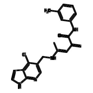 C=C(/C=C(\C)NCc1cnc2[nH]ccc2c1Cl)C(=O)Nc1cccc(C(F)(F)F)c1